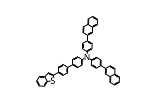 c1ccc2cc(-c3ccc(N(c4ccc(-c5ccc(-c6cc7ccccc7s6)cc5)cc4)c4ccc(-c5ccc6ccccc6c5)cc4)cc3)ccc2c1